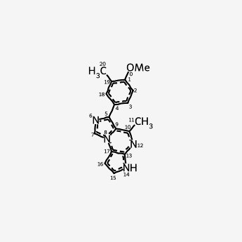 COc1ccc(-c2ncn3c2c(C)nc2[nH]ccc23)cc1C